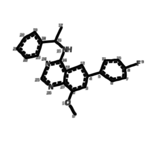 COc1cc(-c2ccc(F)cc2)cc2c(NC(C)c3ccccc3)ncnc12